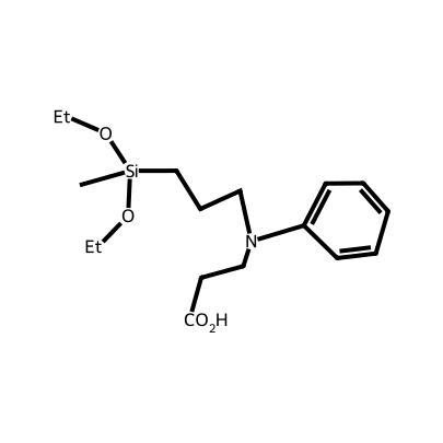 CCO[Si](C)(CCCN(CCC(=O)O)c1ccccc1)OCC